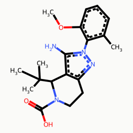 COc1cccc(C)c1-n1nc2c(c1N)C(C(C)(C)C)N(C(=O)O)CC2